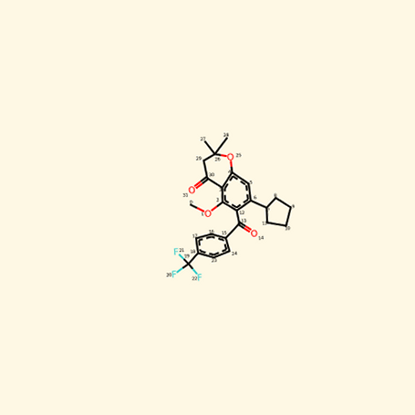 COc1c2c(cc(C3CCCC3)c1C(=O)c1ccc(C(F)(F)F)cc1)OC(C)(C)CC2=O